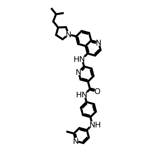 Cc1cc(Nc2ccc(NC(=O)c3ccc(Nc4ccnc5ccc(N6CCC(CC(C)C)C6)cc45)nc3)cc2)ccn1